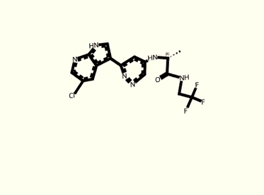 C[C@@H](Nc1cnnc(-c2c[nH]c3ncc(Cl)cc23)c1)C(=O)NCC(F)(F)F